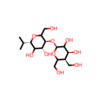 CC(C)[C@@H]1OC(CO)[C@@H](O[C@@H]2OC(CO)[C@H](CO)[C@H](O)C2O)[C@H](O)C1O